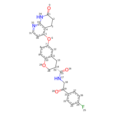 O=C1CCc2c(Oc3ccc4c(c3)C[C@H](C(=O)NCC(=O)c3ccc(F)cc3)CO4)ccnc2N1